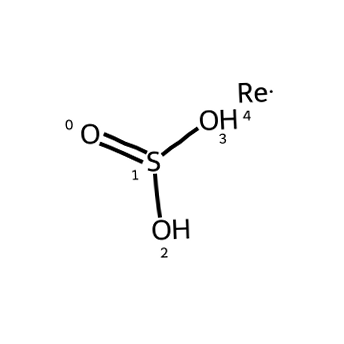 O=S(O)O.[Re]